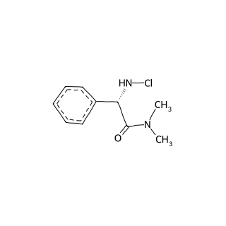 CN(C)C(=O)[C@@H](NCl)c1ccccc1